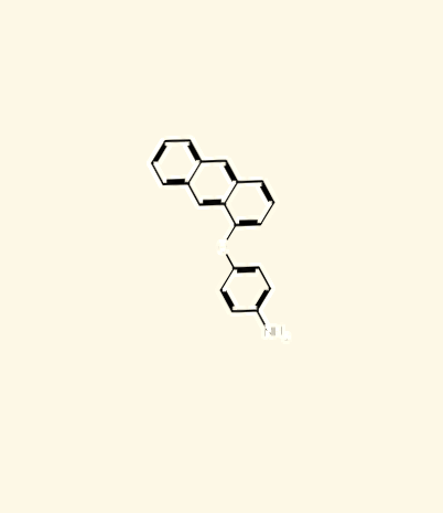 Nc1ccc(Oc2cccc3cc4ccccc4cc23)cc1